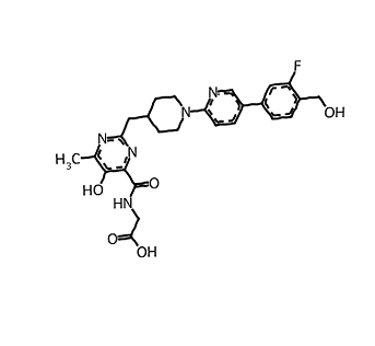 Cc1nc(CC2CCN(c3ccc(-c4ccc(CO)c(F)c4)cn3)CC2)nc(C(=O)NCC(=O)O)c1O